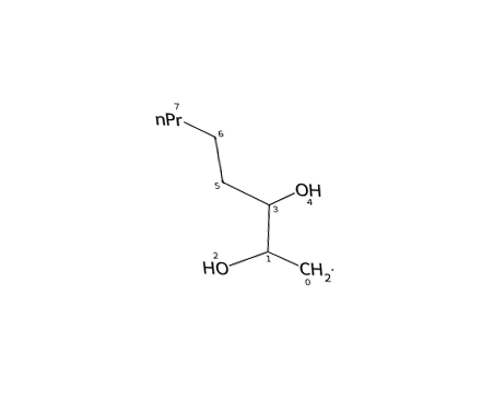 [CH2]C(O)C(O)CCCCC